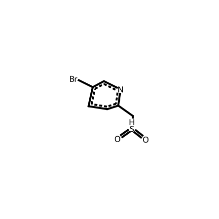 O=[SH](=O)Cc1ccc(Br)cn1